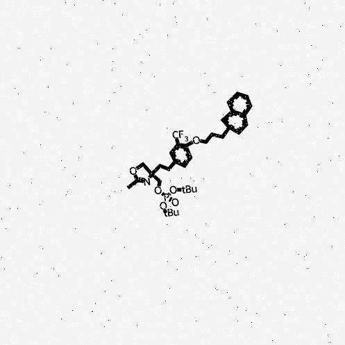 CC1=NC(CCc2ccc(OCCCc3ccc4ccccc4c3)c(C(F)(F)F)c2)(COP(=O)(OC(C)(C)C)OC(C)(C)C)CO1